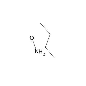 CCCC.N[O]